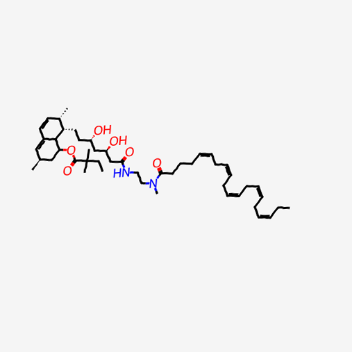 CC/C=C\C/C=C\C/C=C\C/C=C\C/C=C\CCCC(=O)N(C)CCNC(=O)C[C@H](O)C[C@@H](O)CC[C@@H]1C2C(=C[C@H](C)CC2OC(=O)C(C)(C)CC)C=C[C@@H]1C